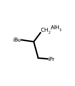 [AlH3].[CH2]C(CC(C)C)C(C)CC